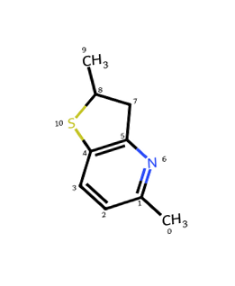 Cc1ccc2c(n1)CC(C)S2